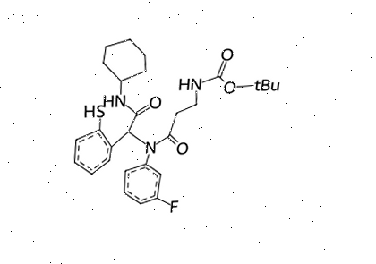 CC(C)(C)OC(=O)NCCC(=O)N(c1cccc(F)c1)C(C(=O)NC1CCCCC1)c1ccccc1S